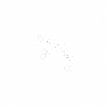 C=C[C@@H]1C[C@]1(NC(=O)[C@@H]1C[C@@H](Oc2nccc3ccccc23)CN1C(=O)[C@@H](NC(=O)Oc1ccc(C)cc1)C(C)(C)C)C(=O)NS(=O)(=O)C1(Cc2ccccc2)CC1